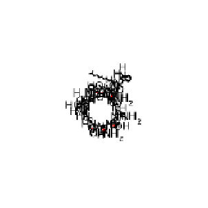 CC(C)CCCCCCCCC(=O)NC(Cc1c[nH]c2ccccc12)C(=O)NC(CC(N)=O)C(=O)NC(CC(=O)O)C(=O)NC1C(=O)NCC(=O)NC(CCCN)C(=O)NC(CC(=O)O)C(=O)NC(CC(N)=O)C(=O)NC(CC(=O)O)C(=O)NCC(=O)NC(CO)C(=O)NC(C(C)CC(=O)O)C(=O)NC(CC(=O)c2ccccc2N)C(=O)OC1C